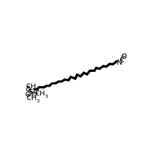 CO[Si](CCCCCCCCCCCCCCCCCCCCCCCCCCCN=C=O)(OC)OC